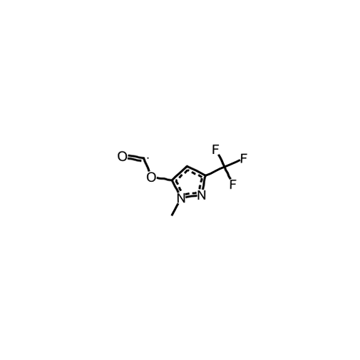 Cn1nc(C(F)(F)F)cc1O[C]=O